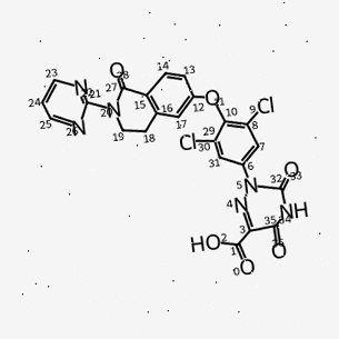 O=C(O)c1nn(-c2cc(Cl)c(Oc3ccc4c(c3)CCN(c3ncccn3)C4=O)c(Cl)c2)c(=O)[nH]c1=O